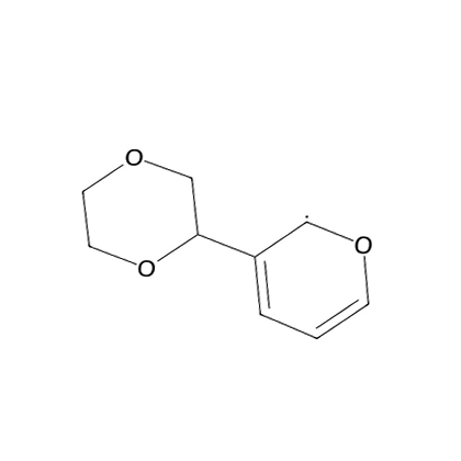 [CH]1OC=CC=C1C1COCCO1